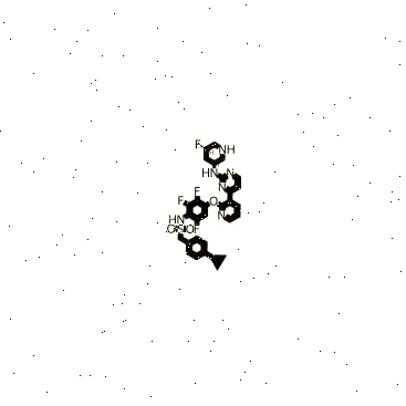 O=S(=O)(Cc1ccc(C2CC2)cc1)Nc1c(F)cc(Oc2ncccc2-c2ccnc(N[C@@H]3CNC[C@@H](F)C3)n2)c(F)c1F